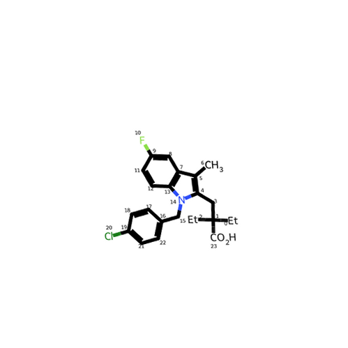 CCC(CC)(Cc1c(C)c2cc(F)ccc2n1Cc1ccc(Cl)cc1)C(=O)O